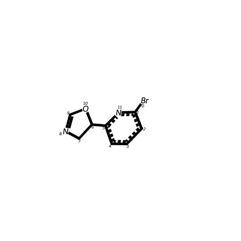 Brc1cccc(C2CN=CO2)n1